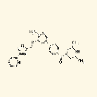 CC1CN(C(=O)c2ccc(-c3cnc(N)c(OCc4nc(-c5ccccn5)no4)c3)cc2)CC(C)N1